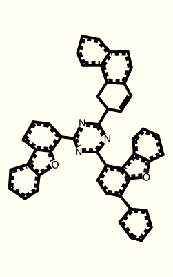 C1=CC(c2nc(-c3cccc4c3oc3ccccc34)nc(-c3ccc(-c4ccccc4)c4oc5ccccc5c34)n2)Cc2c1ccc1ccccc21